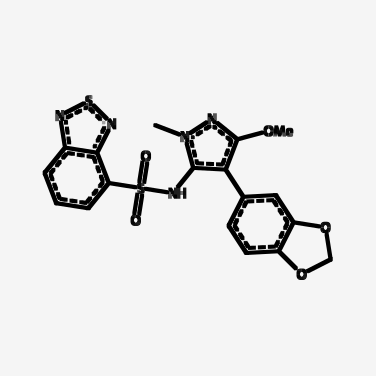 COc1nn(C)c(NS(=O)(=O)c2cccc3nsnc23)c1-c1ccc2c(c1)OCO2